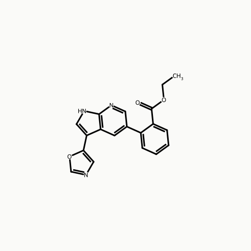 CCOC(=O)c1ccccc1-c1cnc2[nH]cc(-c3cnco3)c2c1